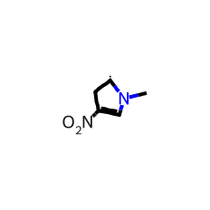 CN1[CH]CC([N+](=O)[O-])=C1